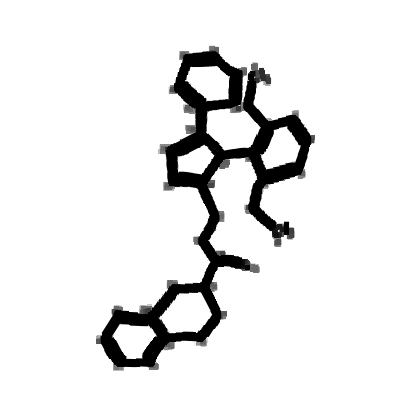 CCc1cccc(CC)c1C1C(CCC(=O)C2CCc3ccccc3C2)=CC=C1c1ccccc1